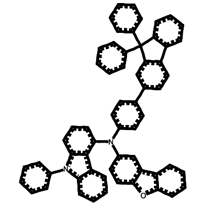 c1ccc(-n2c3ccccc3c3c(N(c4ccc(-c5ccc6c(c5)C(c5ccccc5)(c5ccccc5)c5ccccc5-6)cc4)c4ccc5oc6ccccc6c5c4)cccc32)cc1